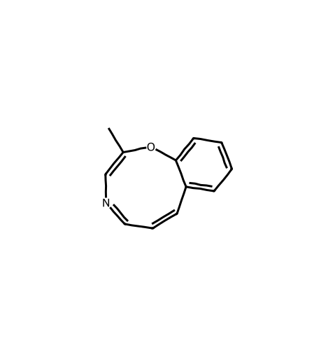 Cc1cncccc2ccccc2o1